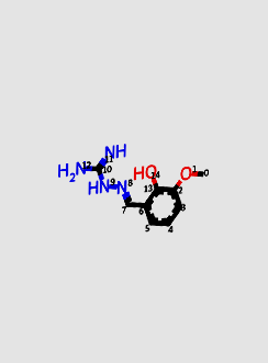 COc1cccc(/C=N/NC(=N)N)c1O